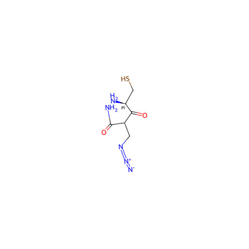 [N-]=[N+]=NCC(C(N)=O)C(=O)[C@@H](N)CS